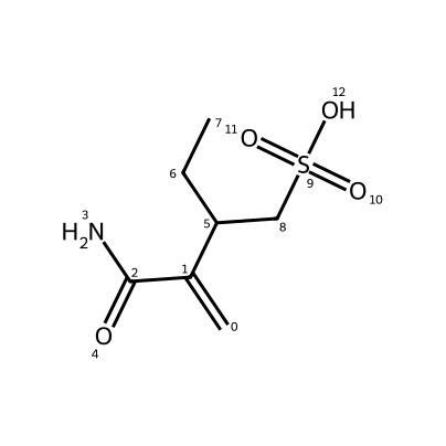 C=C(C(N)=O)C(CC)CS(=O)(=O)O